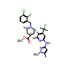 Cc1cc(Nc2cc(C(C)(C)F)c(F)c(C[C@@]3(C(=O)OC(C)(C)C)CCN(Cc4cccc(Cl)c4F)[C@H](C)C3)n2)nn1C(C)(C)C